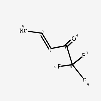 N#C/C=C/C(=O)C(F)(F)F